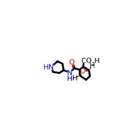 O=C(NC1CCNCC1)C1C(C(=O)O)[C@H]2CC[C@@H]1O2